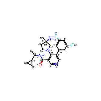 CC(NC(=O)c1cncc(-c2cc(F)cc(F)c2)c1N1CC[C@](C)(N)C1)C1CC1